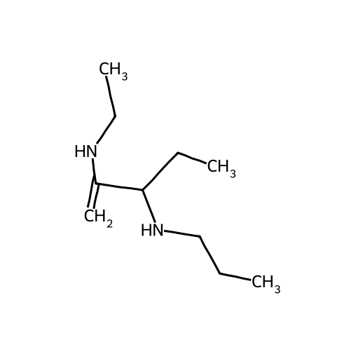 C=C(NCC)C(CC)NCCC